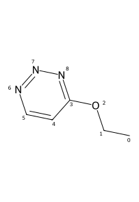 CCOc1ccnnn1